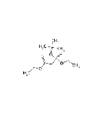 CCOC(=O)CP(=O)(OCC)OC(C)(C)C